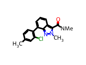 CNC(=O)c1c2cccc(-c3ccc(C)cc3Cl)c2nn1C